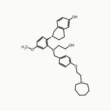 COc1ccc([C@@H]2CCc3cc(O)ccc3C2)c(N(CCO)Cc2ccc(OCCN3CCCCCC3)cc2)c1